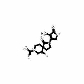 CC1=C(N2CCC3(CCN(C(=O)O)CC3F)C2=O)COC1=O